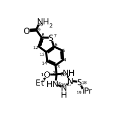 CCOC1(c2ccc3sc(C(N)=O)cc3c2)NNN(SC(C)C)N1